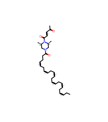 CC/C=C\C/C=C\C/C=C\C/C=C\C/C=C\C/C=C\CCC(=O)N1C[C@@H](C)N(C(=O)/C=C/C(C)=O)[C@@H](C)C1